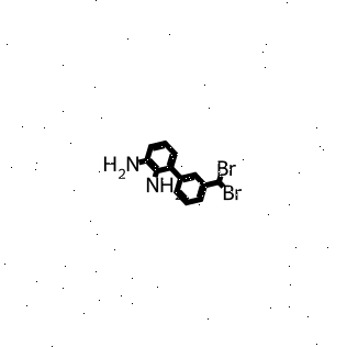 Nc1cccc(-c2cccc(C(Br)Br)c2)c1N